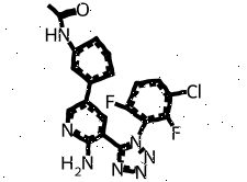 CC(=O)Nc1cccc(-c2cnc(N)c(-c3nnnn3-c3c(F)ccc(Cl)c3F)c2)c1